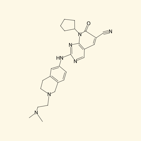 CN(C)CCN1CCc2cc(Nc3ncc4cc(C#N)c(=O)n(C5CCCC5)c4n3)ccc2C1